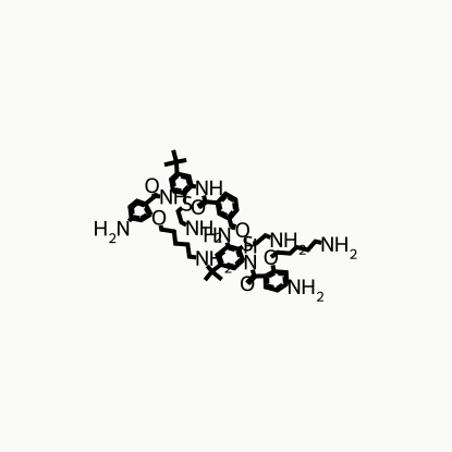 CC(C)(C)c1cc(NC(=O)c2cccc(C(=O)Nc3cc(C(C)(C)C)cc(NC(=O)c4ccc(N)cc4OCCCCCN)c3SCCN)c2)c(SCCN)c(NC(=O)c2ccc(N)cc2OCCCCCN)c1